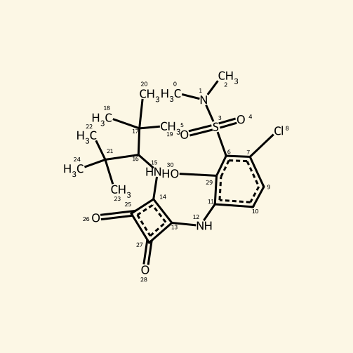 CN(C)S(=O)(=O)c1c(Cl)ccc(Nc2c(NC(C(C)(C)C)C(C)(C)C)c(=O)c2=O)c1O